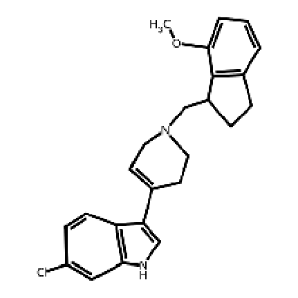 COc1cccc2c1C(CN1CC=C(c3c[nH]c4cc(Cl)ccc34)CC1)CC2